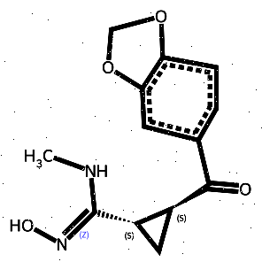 CN/C(=N\O)[C@H]1C[C@@H]1C(=O)c1ccc2c(c1)OCO2